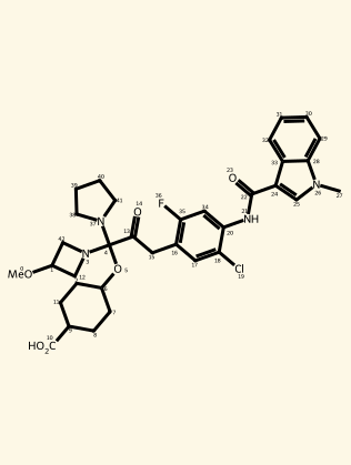 COC1CN(C(OC2CCC(C(=O)O)CC2)(C(=O)Cc2cc(Cl)c(NC(=O)c3cn(C)c4ccccc34)cc2F)N2CCCC2)C1